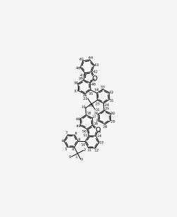 CC(C)(C)c1ccccc1-c1cccc2oc3cc(CC(C)(C)c4c(-c5ccccc5)cccc4-c4cccc5c4oc4ccccc45)ccc3c12